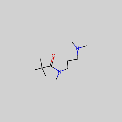 CN(C)CCCN(C)C(=O)C(C)(C)C